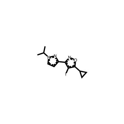 CC(C)n1ccc(-c2noc(C3CC3)c2I)n1